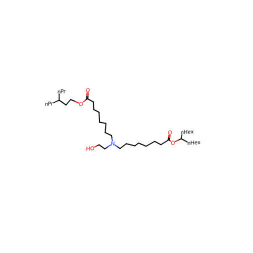 CCCCCCC(CCCCCC)OC(=O)CCCCCCCN(CCO)CCCCCCCC(=O)OCCC(CCC)CCC